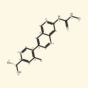 CCNC(=O)Nc1cc2ncc(-c3cnc([C@H](O)CC)cc3C)cc2cn1